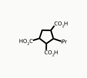 CC(C)C1C(C(=O)O)CC(C(=O)O)C1C(=O)O